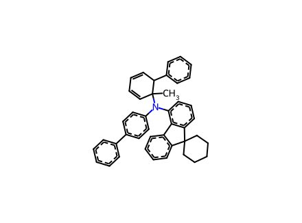 CC1(N(c2ccc(-c3ccccc3)cc2)c2cccc3c2-c2ccccc2C32CCCCC2)C=CC=CC1c1ccccc1